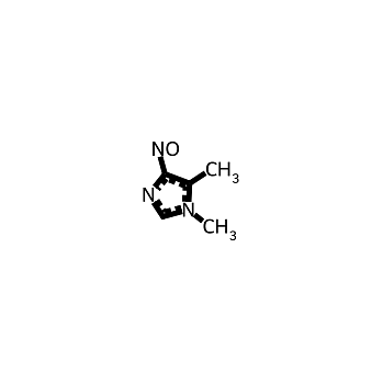 Cc1c(N=O)ncn1C